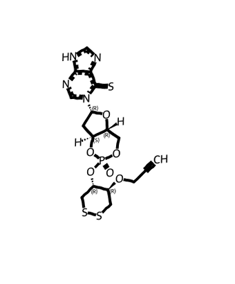 C#CCO[C@H]1CSSC[C@@H]1OP1(=O)OC[C@H]2O[C@@H](n3cnc4[nH]cnc4c3=S)C[C@@H]2O1